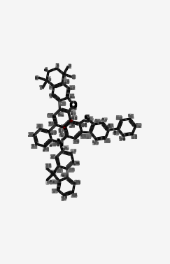 CC1(C)CCC(C)(C)c2cc3c(cc21)oc1ccc(-c2ccccc2N(c2ccc4c(c2)C(C)(C)c2ccccc2-4)c2ccc4sc5cc(-c6ccccc6)ccc5c4c2)cc13